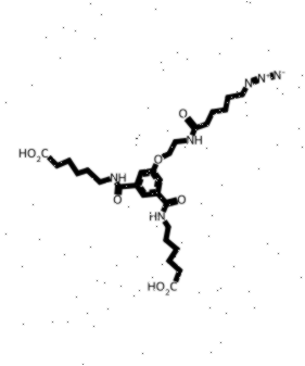 [N-]=[N+]=NCCCCCC(=O)NCCOc1cc(C(=O)NCCCCCC(=O)O)cc(C(=O)NCCCCCC(=O)O)c1